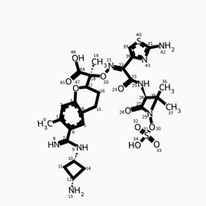 Cc1cc2c(cc1C(=N)N[C@H]1C[C@@H](N)C1)CCC([C@](C)(O/N=C(\C(=O)N[C@@H]1C(=O)N(OS(=O)(=O)O)C1(C)C)c1csc(N)n1)C(=O)O)O2